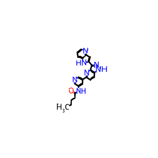 CCCCC(=O)Nc1cncc(-c2ccc3[nH]nc(-c4cc5ncccc5[nH]4)c3n2)c1